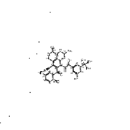 N#Cc1c2c(cc(NC(=O)c3cc(F)cc(C(F)(F)F)c3)c1C(=O)c1cc(F)ccc1Cl)N(CC(F)F)C(=O)OC2